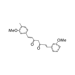 COc1cccc(C=CC(=O)CC(=O)C=Cc2ccc(C)c(OC)c2)c1